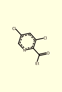 CCC(=O)c1ncc(Cl)cc1Cl